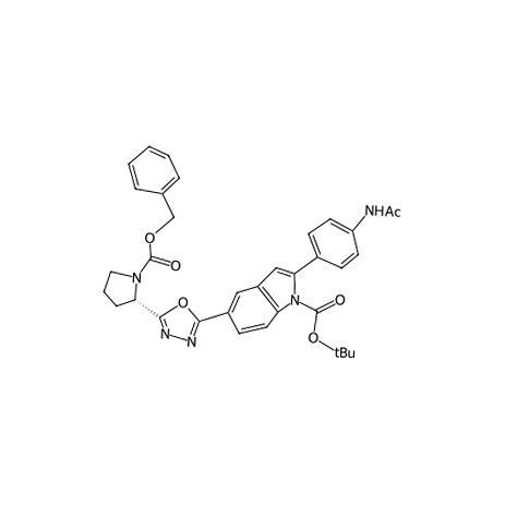 CC(=O)Nc1ccc(-c2cc3cc(-c4nnc([C@@H]5CCCN5C(=O)OCc5ccccc5)o4)ccc3n2C(=O)OC(C)(C)C)cc1